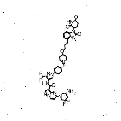 Cn1c(=O)n(C2CCC(=O)NC2=O)c2cccc(CCCOC3CCN(C[C@H]4CC[C@H](n5cc(NC(=O)c6cnn7ccc(N8C[C@H](N)CC(F)(F)C8)nc67)c(C(F)F)n5)CC4)CC3)c21